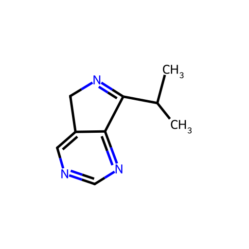 CC(C)C1=NCc2cncnc21